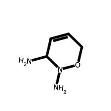 NC1C=CCON1N